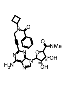 CNC(=O)C1OC(n2cnc3c(N)nc(C#CCN(C(=O)c4ccccc4)C4CCC4)nc32)[C@H](O)[C@@H]1O